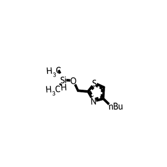 CCCCc1csc(CO[SiH](C)C)n1